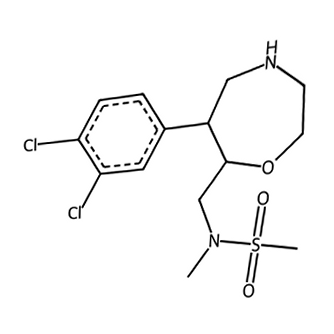 CN(CC1OCCNCC1c1ccc(Cl)c(Cl)c1)S(C)(=O)=O